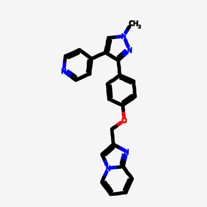 Cn1cc(-c2ccncc2)c(-c2ccc(OCc3cn4ccccc4n3)cc2)n1